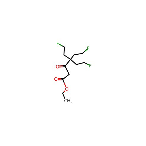 CCOC(=O)CC(=O)C(CCF)(CCF)CCF